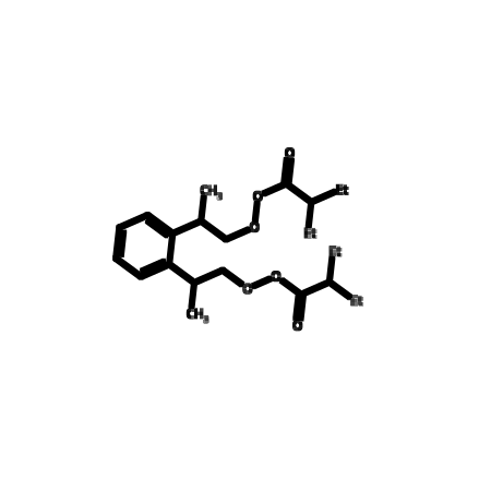 CCC(CC)C(=O)OOCC(C)c1ccccc1C(C)COOC(=O)C(CC)CC